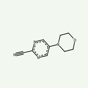 N#Cc1ncc(N2CCOCC2)cn1